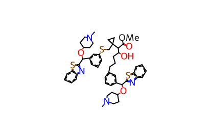 COC(=O)C(C(O)CCCc1cccc(C(OC2CCN(C)CC2)c2nc3ccccc3s2)c1)C1(CSc2cccc(C(OC3CCN(C)CC3)c3nc4ccccc4s3)c2)CC1